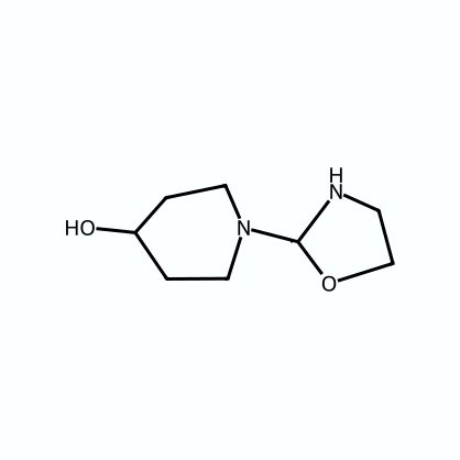 OC1CCN([C]2NCCO2)CC1